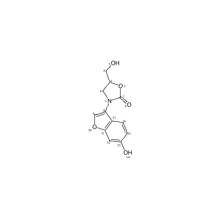 O=C1OC(CO)CN1c1coc2cc(O)ccc12